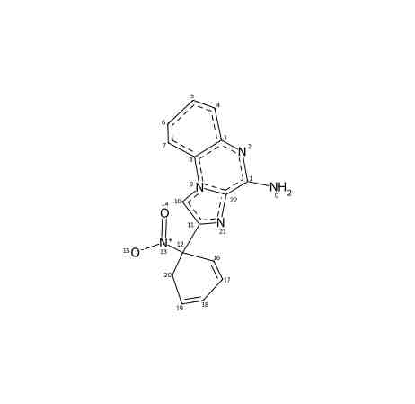 Nc1nc2ccccc2n2cc(C3([N+](=O)[O-])C=CC=CC3)nc12